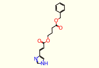 O=C(/C=C/c1c[nH]cn1)OCCCC(=O)OCc1ccccc1